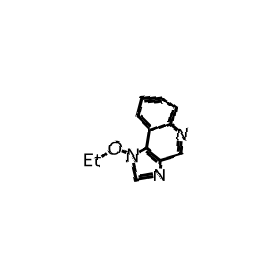 CCOn1cnc2cnc3ccccc3c21